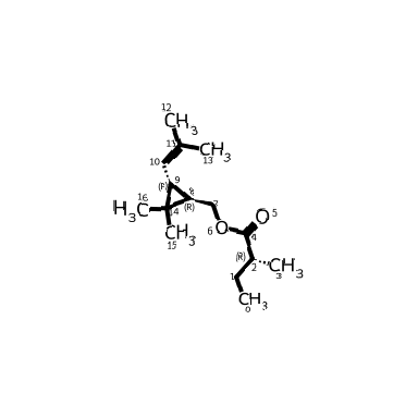 CC[C@@H](C)C(=O)OC[C@@H]1[C@@H](C=C(C)C)C1(C)C